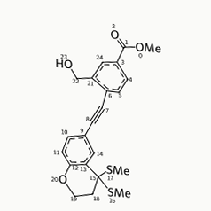 COC(=O)c1ccc(C#Cc2ccc3c(c2)C(SC)(SC)CCO3)c(CO)c1